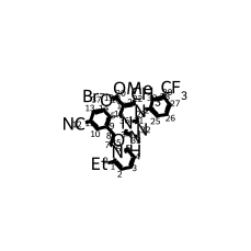 CCc1cccc[n+]1CCc1cc(C#N)ccc1[C@@H]1C(C(=O)OC)=C(C)N(c2cccc(C(F)(F)F)c2)c2n[nH]c(=O)n21.[Br-]